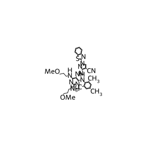 COCCCNc1nc(NCCCOC)c(N=Nc2nn(-c3nc4ccccc4s3)cc2C#N)c(Nc2c(C)cc(C)cc2C)n1